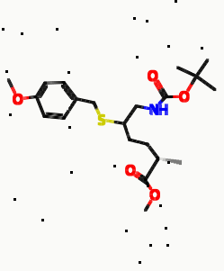 COC(=O)[C@@H](C)CCC(CNC(=O)OC(C)(C)C)SCc1ccc(OC)cc1